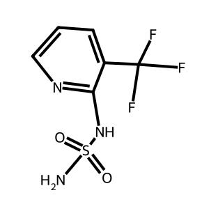 NS(=O)(=O)Nc1ncccc1C(F)(F)F